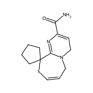 NC(=O)C1=CCN2CC=CSC3(CCCC3)C2=N1